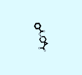 O=C(ON1CCC2(CC1)CC2C(=O)Cl)c1ccccc1